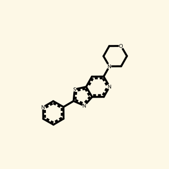 c1cncc(-c2nc3cnc(N4CCOCC4)cc3s2)c1